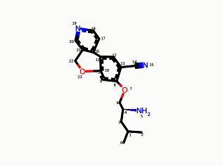 CC(C)C[C@H](N)COc1cc2c(cc1C#N)-c1ccncc1CO2